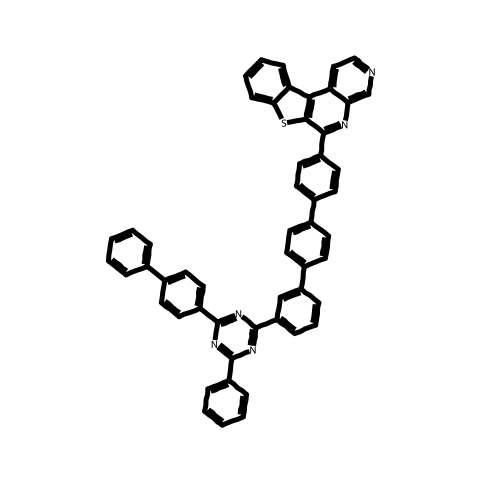 c1ccc(-c2ccc(-c3nc(-c4ccccc4)nc(-c4cccc(-c5ccc(-c6ccc(-c7nc8cnccc8c8c7sc7ccccc78)cc6)cc5)c4)n3)cc2)cc1